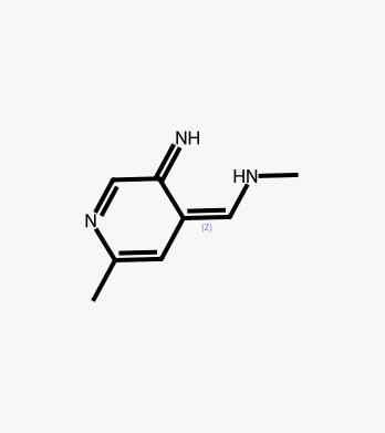 CN/C=C1/C=C(C)N=CC1=N